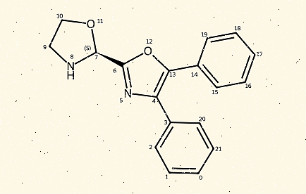 c1ccc(-c2nc([C@H]3NCCO3)oc2-c2ccccc2)cc1